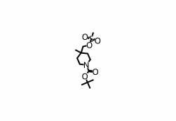 CC1(COS(C)(=O)=O)CCN(C(=O)OC(C)(C)C)CC1